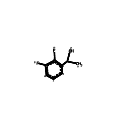 CC(O)c1cccc(F)c1F